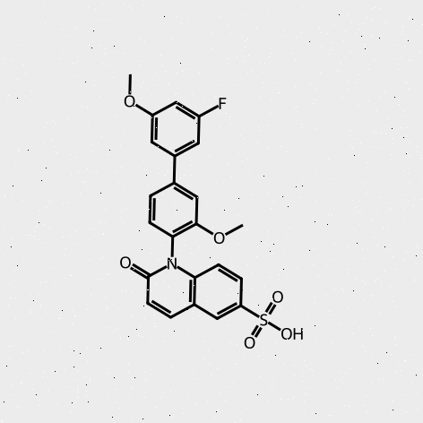 COc1cc(F)cc(-c2ccc(-n3c(=O)ccc4cc(S(=O)(=O)O)ccc43)c(OC)c2)c1